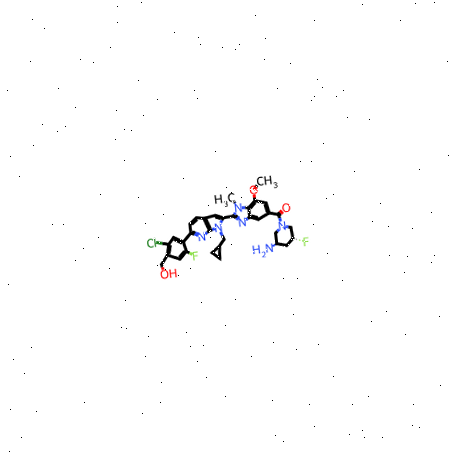 COc1cc(C(=O)N2C[C@H](N)C[C@@H](F)C2)cc2nc(-c3cc4ccc(-c5cc(Cl)c(CO)cc5F)nc4n3CC3CC3)n(C)c12